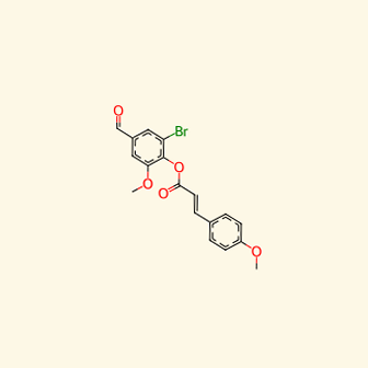 COc1ccc(/C=C/C(=O)Oc2c(Br)cc(C=O)cc2OC)cc1